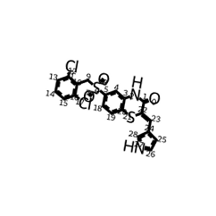 O=C1Nc2cc(S(=O)(=O)Cc3c(Cl)cccc3Cl)ccc2SC1=Cc1cc[nH]c1